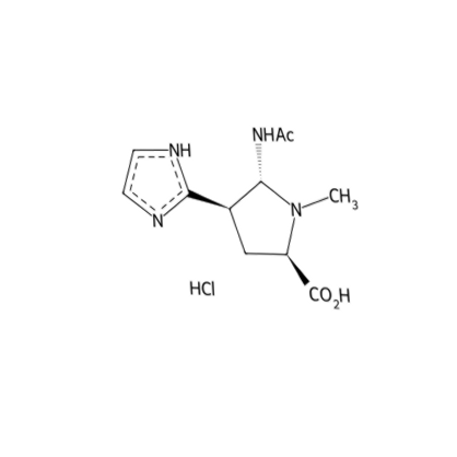 CC(=O)N[C@H]1[C@H](c2ncc[nH]2)C[C@H](C(=O)O)N1C.Cl